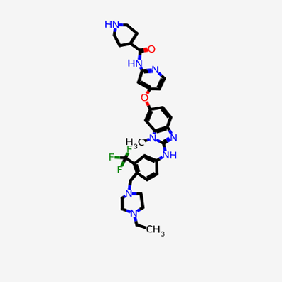 CCN1CCN(Cc2ccc(Nc3nc4ccc(Oc5ccnc(NC(=O)C6CCNCC6)c5)cc4n3C)cc2C(F)(F)F)CC1